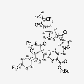 CC(C)(C)OC(=O)c1ccccc1Cn1cc(C(=O)N2CC(COCc3cccc(C4CCC(C(F)(F)F)CC4)c3OC(F)F)C3(C2)CN(C(=O)C2(C(F)(F)F)CC2)C3)cn1